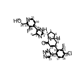 Cc1nc([C@@H]2CC[C@@H]3CC(c4c(-n5cnnn5)ccc(Cl)c4F)=CC(=O)N32)[nH]c1-c1ccnc(CO)c1F